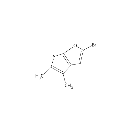 Cc1sc2oc(Br)cc2c1C